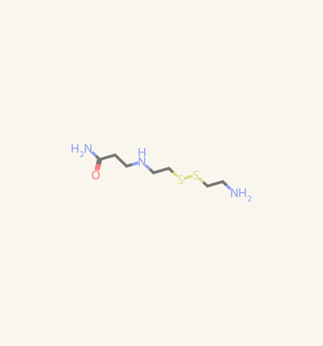 NCCSSCCNCCC(N)=O